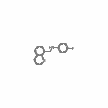 Fc1ccc(NCc2cccc3cccnc23)cc1